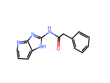 O=C(Cc1ccccc1)Nc1nc2ncccc2[nH]1